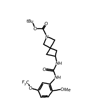 COc1ccc(OC(F)(F)F)cc1NC(=O)NC1CC2(C1)CN(C(=O)OC(C)(C)C)C2